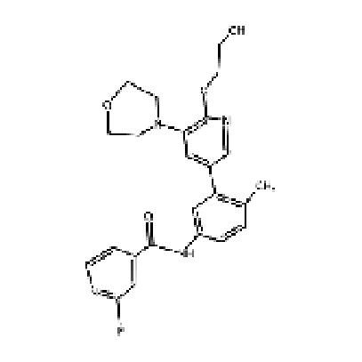 Cc1ccc(NC(=O)c2ccnc(F)c2)cc1-c1cnc(OCCO)c(N2CCOCC2)c1